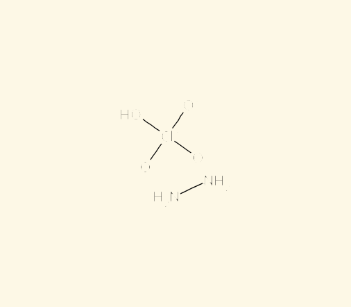 NN.[O-][Cl+3]([O-])([O-])O